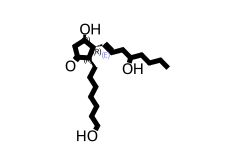 CCCCC(O)C/C=C/[C@H]1[C@H](O)CC(=O)[C@@H]1CCCCCCCO